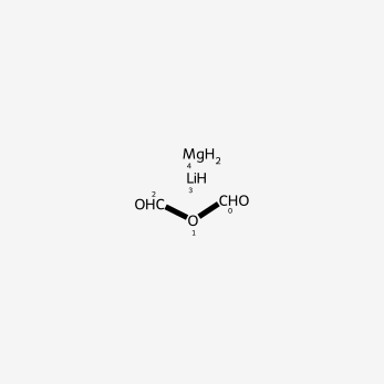 O=COC=O.[LiH].[MgH2]